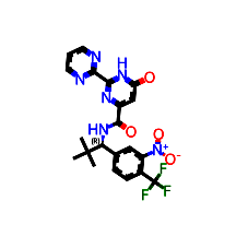 CC(C)(C)[C@@H](NC(=O)c1cc(=O)[nH]c(-c2ncccn2)n1)c1ccc(C(F)(F)F)c([N+](=O)[O-])c1